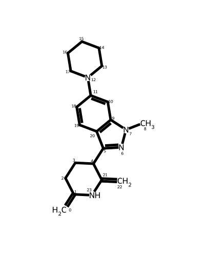 C=C1CCC(c2nn(C)c3cc(N4CCCCC4)ccc23)C(=C)N1